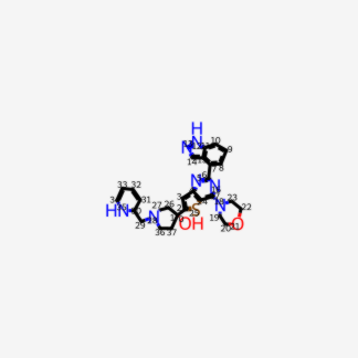 OC1(c2cc3nc(-c4cccc5[nH]ncc45)nc(N4CCOCC4)c3s2)CCN(CC2C=CC=CN2)CC1